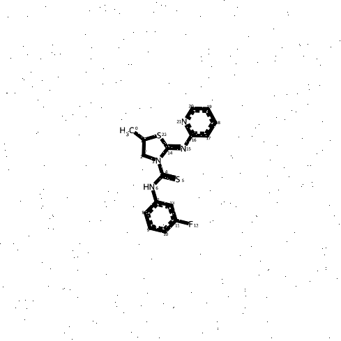 CC1CN(C(=S)Nc2cccc(F)c2)C(=Nc2ccccn2)S1